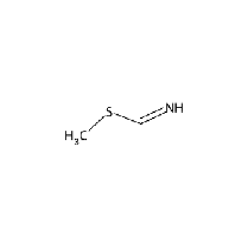 CSC=N